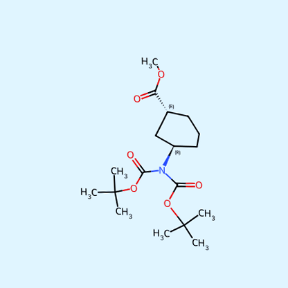 COC(=O)[C@@H]1CCC[C@@H](N(C(=O)OC(C)(C)C)C(=O)OC(C)(C)C)C1